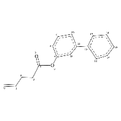 C=CCCC(=O)Oc1cccc(-c2ccccc2)c1